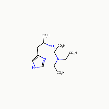 NC(Cc1c[nH]cn1)C(=O)O.O=C(O)CN(CC(=O)O)CC(=O)O